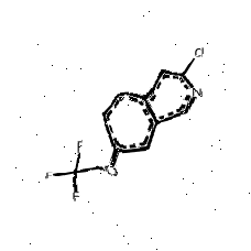 FC(F)(F)Oc1ccc2cc(Cl)ncc2c1